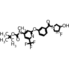 CN(C(=O)OC(C)(C)C)c1cc(Oc2cccc(C(=O)N3C[C@@H](O)[C@H](F)C3)c2)nc(C(F)(F)F)c1